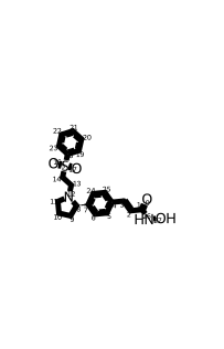 O=C(/C=C/c1ccc([C@@H]2CCCN2CCS(=O)(=O)c2ccccc2)cc1)NO